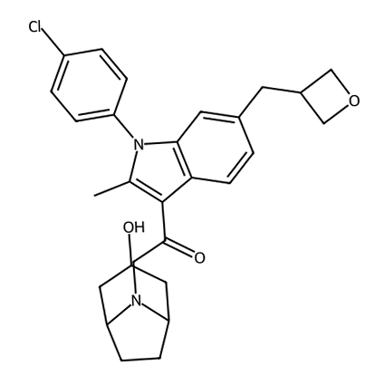 Cc1c(C(=O)CN2C3CCC2CC(O)C3)c2ccc(CC3COC3)cc2n1-c1ccc(Cl)cc1